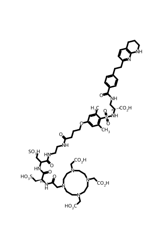 Cc1cc(OCCCC(=O)NCCNC(=O)C(CS(=O)(=O)O)NC(=O)[C@H](CS(=O)(=O)O)NC(=O)CN2CCN(CC(=O)O)CCN(CC(=O)O)CCN(CC(=O)O)CC2)cc(C)c1S(=O)(=O)N[C@H](CNC(=O)c1ccc(CCc2ccc3c(n2)NCCC3)cc1)C(=O)O